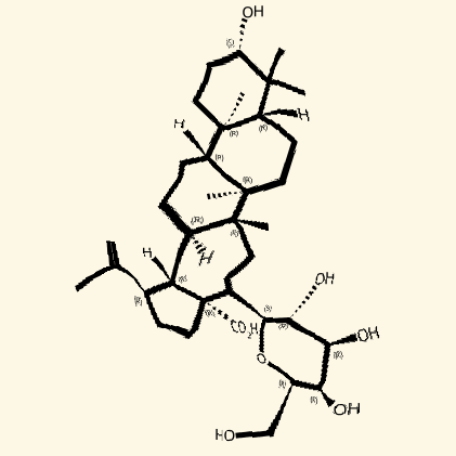 C=C(C)[C@@H]1CC[C@]2(C(=O)O)C([C@@H]3O[C@H](CO)[C@H](O)[C@H](O)[C@H]3O)C[C@]3(C)[C@H](CC[C@@H]4[C@@]5(C)CC[C@H](O)C(C)(C)[C@@H]5CC[C@]43C)[C@@H]12